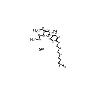 CCCCCCCCCc1ccc(P(=O)(O)CC(CC)CCCC)cc1.[Mo]